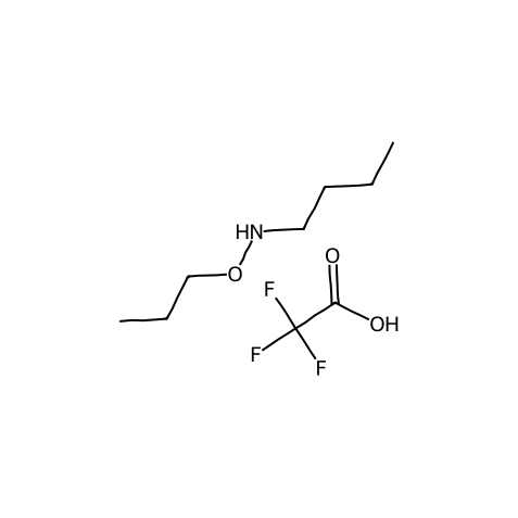 CCCCNOCCC.O=C(O)C(F)(F)F